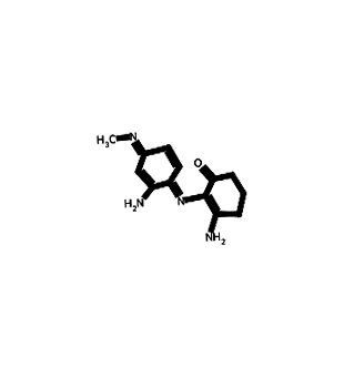 C/N=C1C=C/C(=N\C2=C(N)CCCC2=O)C(N)=C/1